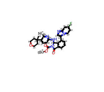 CC(C)(C)OC(=O)N1C(=O)c2cccc(-c3cnc4cc(F)ccn34)c2C1Nc1ccc(C2(C)CCOCC2)c(C#N)n1